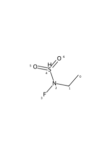 CCN(F)[SH](=O)=O